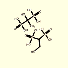 CC(O)(P(=O)(O)O)P(=O)(O)O.O=P(O)(O)C(CO)P(=O)(O)O